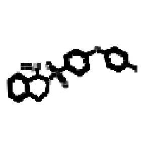 O=C(O)[C@@H]1c2ccccc2CCN1S(=O)(=O)c1ccc(Oc2ccc(F)cc2)cc1